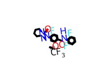 C[C@H](Oc1cc(-n2nc3n(c2=O)CCCC3)c(F)cc1C(=O)Nc1c(F)cccc1F)C(F)(F)F